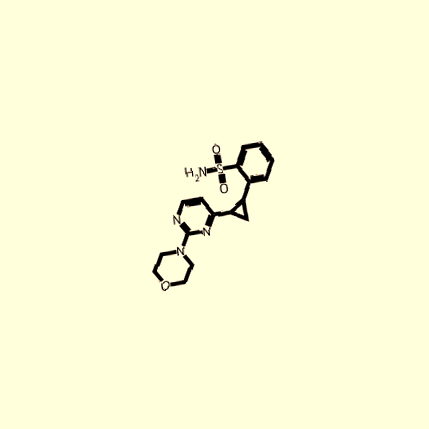 NS(=O)(=O)c1ccccc1C1CC1c1ccnc(N2CCOCC2)n1